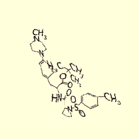 Cc1ccc(S(=O)(=O)N2CCC[C@@H]2C(=O)NC(Cc2ccc(N3CCN(C)CC3)cc2)C(=O)OC(C)(C)C)cc1